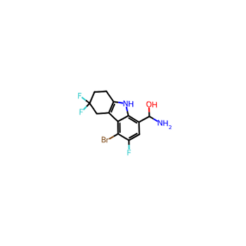 NC(O)c1cc(F)c(Br)c2c3c([nH]c12)CCC(F)(F)C3